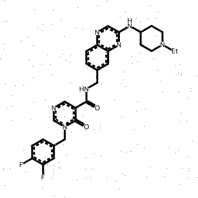 CCN1CCC(Nc2cnc3ccc(CNC(=O)c4cncn(Cc5ccc(F)c(F)c5)c4=O)cc3n2)CC1